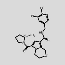 C[C@H]1CCCN1C(=O)c1cc(C(=O)NCc2cnc(Cl)c(Cl)c2)c2n1CCOC2